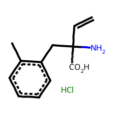 C=CC(N)(Cc1ccccc1C)C(=O)O.Cl